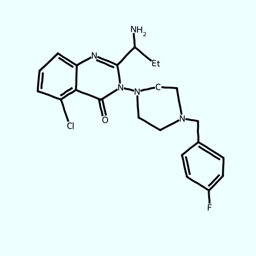 CCC(N)c1nc2cccc(Cl)c2c(=O)n1N1CCN(Cc2ccc(F)cc2)CC1